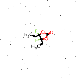 C=CC1(F)OC(=O)OC1(F)C=C